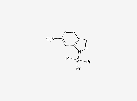 CC(C)[Si](C(C)C)(C(C)C)n1ccc2ccc([N+](=O)[O-])cc21